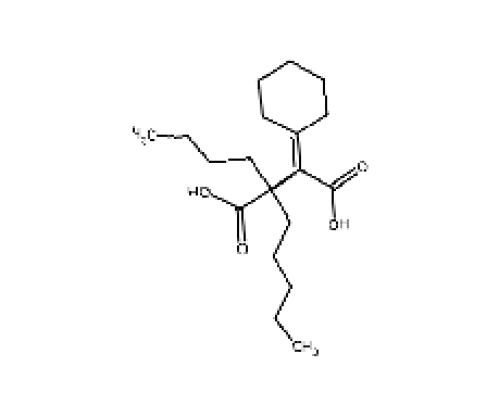 CCCCCC(CCCC)(C(=O)O)C(C(=O)O)=C1CCCCC1